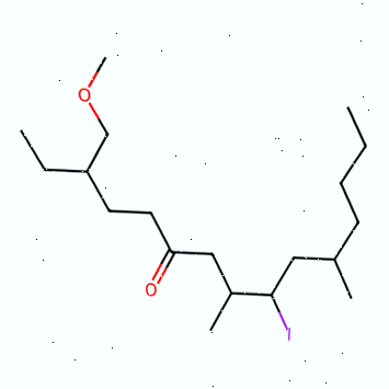 CCCCC(C)CC(I)C(C)CC(=O)CCC(CC)COC